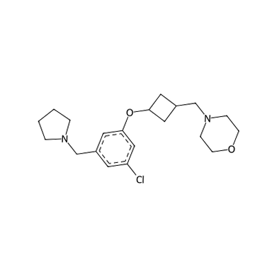 Clc1cc(CN2CCCC2)cc(OC2CC(CN3CCOCC3)C2)c1